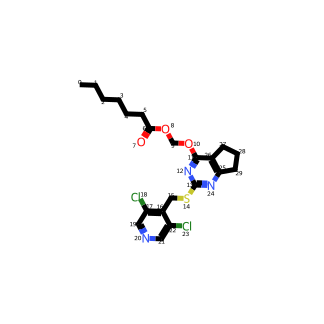 CCCCCCC(=O)OCOc1nc(SCc2c(Cl)cncc2Cl)nc2c1CCC2